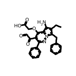 CCc1c(N)c2c(OCC(=O)O)c(C(=O)[C]=O)c(-c3ccccc3)nn2c1Cc1ccccc1